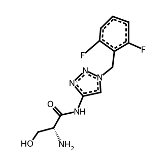 N[C@H](CO)C(=O)Nc1cn(Cc2c(F)cccc2F)nn1